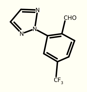 O=Cc1ccc(C(F)(F)F)cc1-n1nccn1